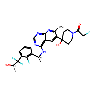 COc1nc2ncnc(N[C@H](C)c3cccc(C(F)(F)[C@H](C)O)c3F)c2cc1C1(O)CCN(C(=O)CF)CC1